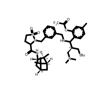 Cc1ccc(C(NCc2cccc(CN3C(C(=O)N[C@H]4C[C@H]5C[C@@H]([C@@H]4C)C5(C)C)CCS3(=O)=O)c2)[C@H](CN(C)C)CC(C)(C)C)c(OC(=O)C(F)(F)F)c1